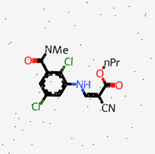 CCCOC(=O)C(C#N)=CNc1cc(Cl)cc(C(=O)NC)c1Cl